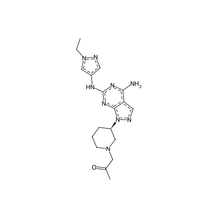 CCn1cc(Nc2nc(N)c3cnn([C@@H]4CCCN(CC(C)=O)C4)c3n2)cn1